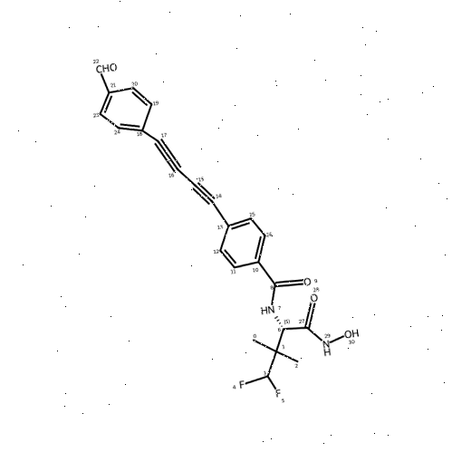 CC(C)(C(F)F)[C@H](NC(=O)c1ccc(C#CC#Cc2ccc(C=O)cc2)cc1)C(=O)NO